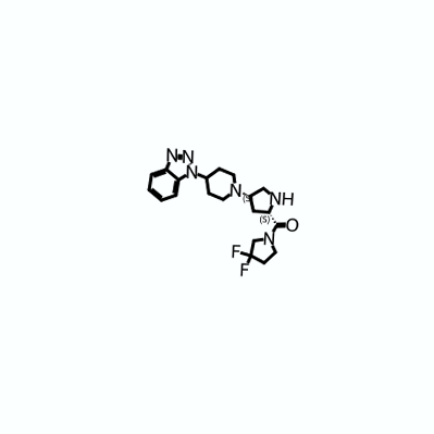 O=C([C@@H]1C[C@H](N2CCC(n3nnc4ccccc43)CC2)CN1)N1CCC(F)(F)C1